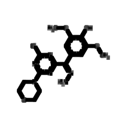 COc1cc(C(=NN)c2nc(Cl)nc(N3CCOCC3)n2)cc(OC)c1O